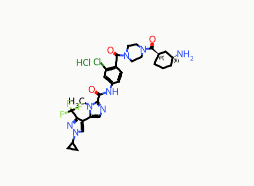 Cl.Cn1c(-c2cn(C3CC3)nc2C(F)(F)F)cnc1C(=O)Nc1ccc(C(=O)N2CCN(C(=O)[C@@H]3CCC[C@@H](N)C3)CC2)c(Cl)c1